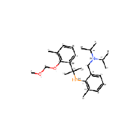 COCOc1c(C)cccc1C(C)(C)Pc1c(C)cccc1CN(C(C)C)C(C)C